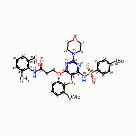 COc1ccccc1Oc1c(NS(=O)(=O)c2ccc(C(C)(C)C)cc2)nc(N2CCOCC2)nc1OCCC(=O)Nc1c(C)cccc1C